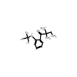 CCC(C)(C)C(=O)c1ccccc1OC(F)(F)F